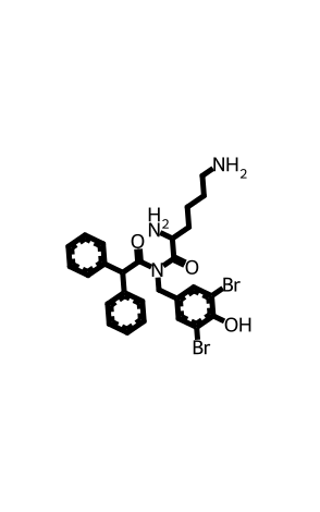 NCCCCC(N)C(=O)N(Cc1cc(Br)c(O)c(Br)c1)C(=O)C(c1ccccc1)c1ccccc1